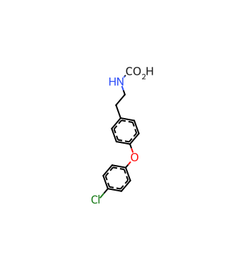 O=C(O)NCCc1ccc(Oc2ccc(Cl)cc2)cc1